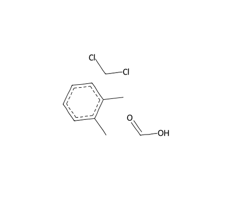 Cc1ccccc1C.ClCCl.O=CO